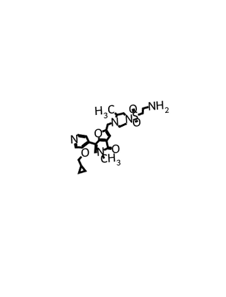 CC1CN(S(=O)(=O)CCN)CCN1Cc1cc2c(=O)n(C)cc(-c3ccncc3OCC3CC3)c2o1